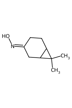 CC1(C)C2CC/C(=N\O)CC21